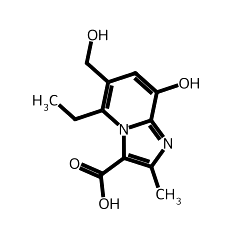 CCc1c(CO)cc(O)c2nc(C)c(C(=O)O)n12